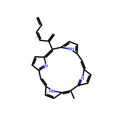 C=C/C=C\C(=C)c1c2nc(cc3ccc([nH]3)c(C)c3nc(cc4ccc1[nH]4)C=C3)C=C2